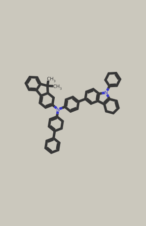 CC1(C)c2ccccc2C2=CC=C(N(C3=CC=C(c4ccccc4)CC3)c3ccc(-c4ccc5c(c4)c4c(n5C5=CC=CCC5)C=CCC4)cc3)CC21